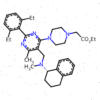 CCOC(=O)CN1CCN(c2nc(-c3c(CC)cccc3CC)nc(C)c2CN(C)[C@H]2CCCc3ccccc32)CC1